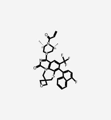 C=CC(=O)N1[C@H](C)CN(c2nc(=O)n3c4c(c(-c5ccc(F)c6ccccc56)c(C(F)(F)F)cc24)SCC2(COC2)C3)C[C@@H]1C